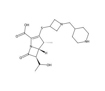 CC(O)[C@H]1C(=O)N2C(C(=O)O)=C(SC3CN(CC4CCNCC4)C3)[C@H](C)[C@H]12